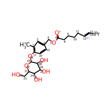 Cc1cc(COC(=O)CCCC/C=C/C(C)C)ccc1OC1OC(CO)C(O)C(O)C1O